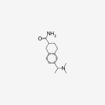 CC(c1ccc2c(c1)CCC(C(N)=O)C2)N(C)C